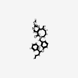 CCCC(Oc1cccc(CN2CCCC(C)c3nc(SC)ncc3C2=O)c1)c1ccccc1